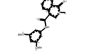 COc1cc(NC(=O)c2cn(C)c(=O)c3ccccc23)cc(OC)c1